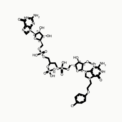 CCCO[C@@H]1[C@H](O)[C@@H](COP(=O)(O)OCC(COP(=O)(O)OC[C@H]2O[C@@H](n3cnc4c(=O)[nH]c(N)nc43)[C@H](O)[C@@H]2O)OP(=O)(O)O)O[C@H]1N1CN(CCOc2ccc(Cl)cc2)c2c1nc(N)[nH]c2=O